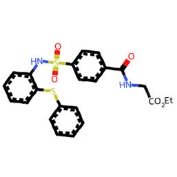 CCOC(=O)CNC(=O)c1ccc(S(=O)(=O)Nc2ccccc2Sc2ccccc2)cc1